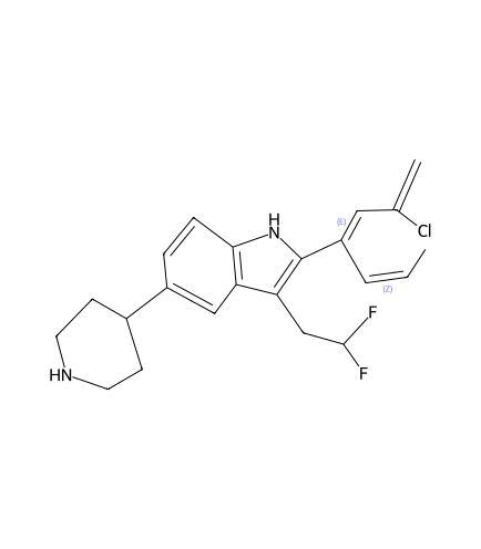 C=C(Cl)/C=C(\C=C/C)c1[nH]c2ccc(C3CCNCC3)cc2c1CC(F)F